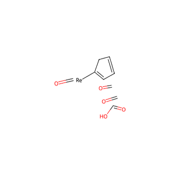 C=O.C=O.C=O.O=CO.[Re][C]1=CC=CC1